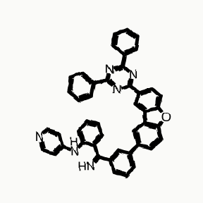 N=C(c1cccc(-c2ccc3oc4ccc(-c5nc(-c6ccccc6)nc(-c6ccccc6)n5)cc4c3c2)c1)c1ccccc1Nc1ccncc1